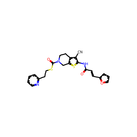 N#Cc1c(NC(=O)C=Cc2ccco2)sc2c1CCN(C(=O)SCCc1ccccn1)C2